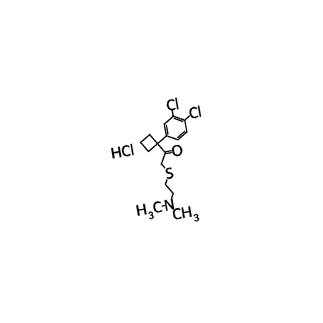 CN(C)CCSCC(=O)C1(c2ccc(Cl)c(Cl)c2)CCC1.Cl